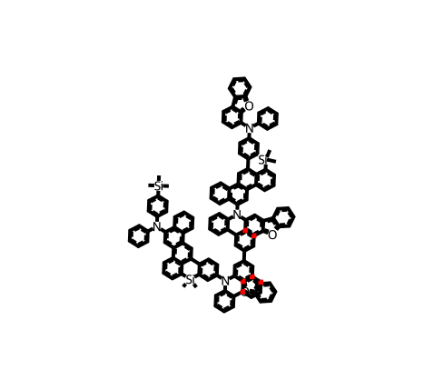 C[Si](C)(C)c1ccc(N(c2ccccc2)c2cc3c4cccc5c4c(cc3c3ccccc23)-c2ccc(N(c3ccccc3-c3ccccc3)c3cc(-c4cccc(-c6ccccc6N(c6ccc7oc8ccccc8c7c6)c6cc7c8cccc9c8c(cc7c7ccccc67)-c6ccc(N(c7ccccc7)c7cccc8c7oc7ccccc78)cc6[Si]9(C)C)c4)cc4c3oc3ccccc34)cc2[Si]5(C)C)cc1